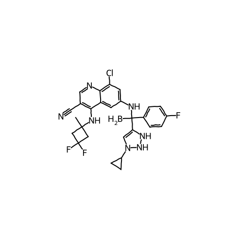 BC(Nc1cc(Cl)c2ncc(C#N)c(NC3(C)CC(F)(F)C3)c2c1)(C1=CN(C2CC2)NN1)c1ccc(F)cc1